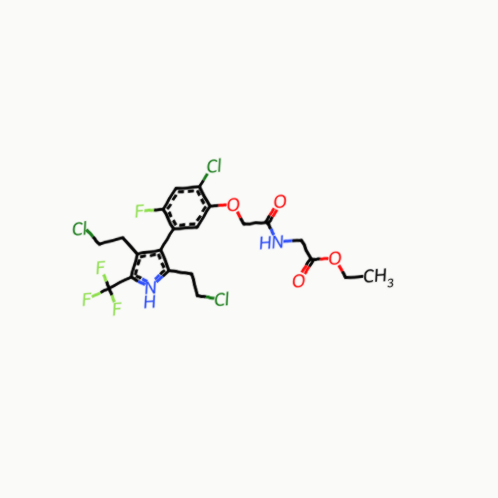 CCOC(=O)CNC(=O)COc1cc(-c2c(CCCl)[nH]c(C(F)(F)F)c2CCCl)c(F)cc1Cl